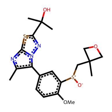 COc1ccc(-c2c(C)nc3sc(C(C)(C)O)nn23)cc1[S+]([O-])CC1(C)COC1